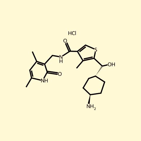 Cc1cc(C)c(CNC(=O)c2csc(C(O)[C@H]3CC[C@H](N)CC3)c2C)c(=O)[nH]1.Cl